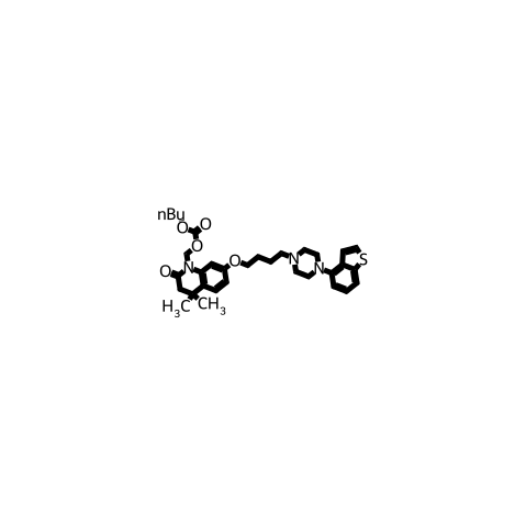 CCCCOC(=O)OCN1C(=O)CC(C)(C)c2ccc(OCCCCN3CCN(c4cccc5sccc45)CC3)cc21